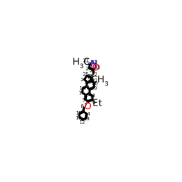 CCc1cc2c(cc1OCc1ccccc1)CCC1C2CC[C@@]2(C)C1CC[C@@H]2Cc1cc(C)no1